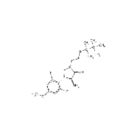 COc1cc(F)c([C@@H]2CN(CCO[Si](C)(C)C(C)(C)C)C(=O)[C@H]2N)c(F)c1